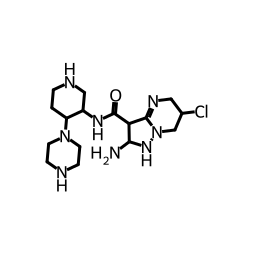 NC1NN2CC(Cl)CN=C2C1C(=O)NC1CNCCC1N1CCNCC1